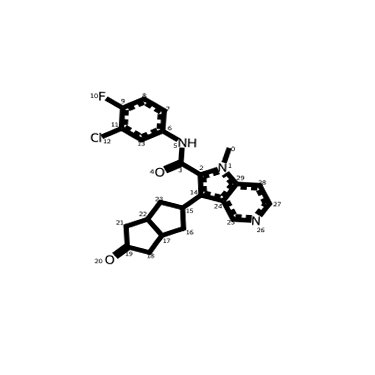 Cn1c(C(=O)Nc2ccc(F)c(Cl)c2)c(C2CC3CC(=O)CC3C2)c2cnccc21